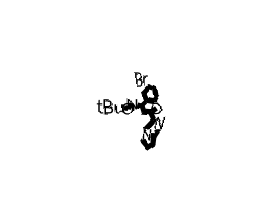 CC(C)(C)ON=c1cc(-c2cn3cccc3cn2)oc2ccc(Br)cc12